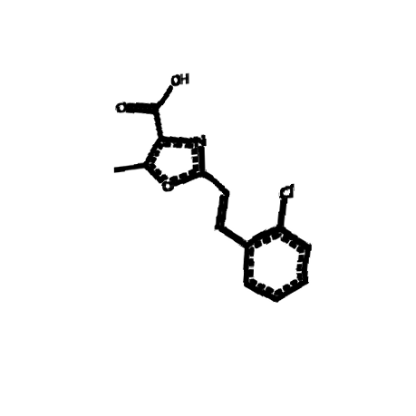 Cc1oc(/C=C/c2ccccc2Cl)nc1C(=O)O